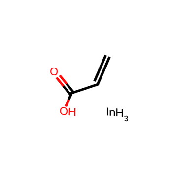 C=CC(=O)O.[InH3]